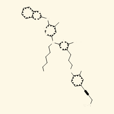 CNCC#Cc1ccc(OCCCc2sc(N(CCCCCO)c3cc(C)c(Nc4nc5ccccc5s4)nn3)nc2C(=O)O)c(F)c1